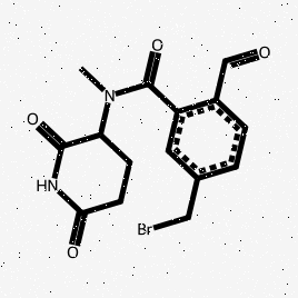 CN(C(=O)c1cc(CBr)ccc1C=O)C1CCC(=O)NC1=O